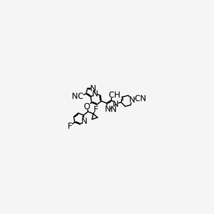 Cc1c(-c2cc(OC(c3ccc(F)cn3)C3(F)CC3)c3c(C#N)cnn3c2)nnn1C1CCN(C#N)CC1